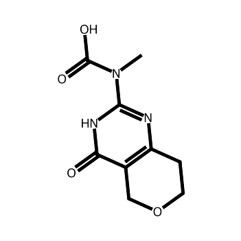 CN(C(=O)O)c1nc2c(c(=O)[nH]1)COCC2